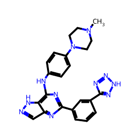 CN1CCN(c2ccc(Nc3nc(-c4cccc(-c5nn[nH]n5)c4)nc4cn[nH]c34)cc2)CC1